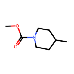 [CH2]C1CCN(C(=O)OC)CC1